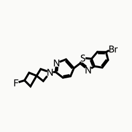 FC1CC2(C1)CN(c1ccc(-c3nc4ccc(Br)cc4s3)cn1)C2